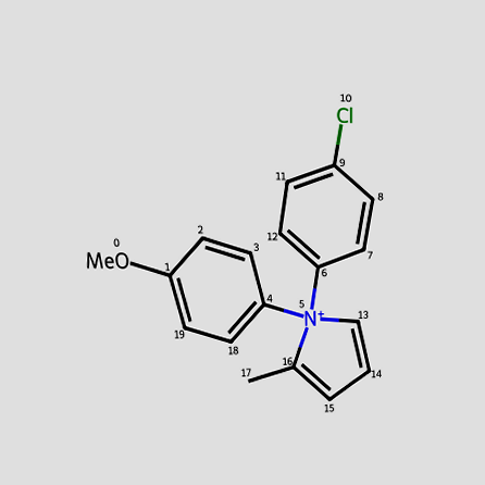 COc1ccc([N+]2(c3ccc(Cl)cc3)C=CC=C2C)cc1